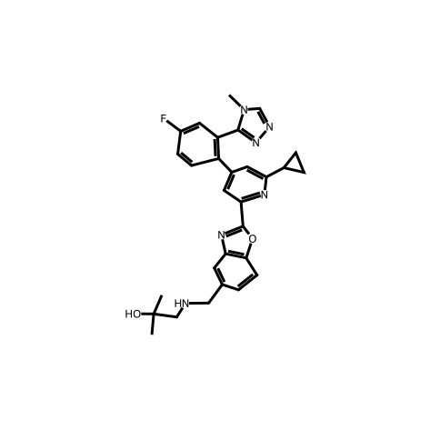 Cn1cnnc1-c1cc(F)ccc1-c1cc(-c2nc3cc(CNCC(C)(C)O)ccc3o2)nc(C2CC2)c1